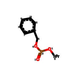 CCCOS(=O)OCc1ccccc1